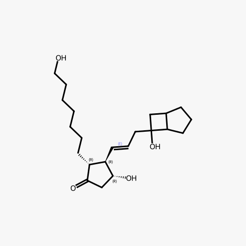 O=C1C[C@@H](O)[C@H](/C=C/CC2(O)CC3CCCC32)[C@H]1CCCCCCCO